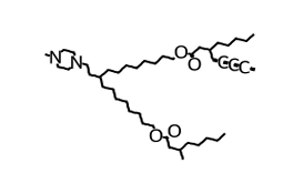 C=C=C=C=CC(CCCCC)CC(=O)OCCCCCCCCC(CCCCCCCCOC(=O)CC(C)CCCCC)CCN1CCN(C)CC1